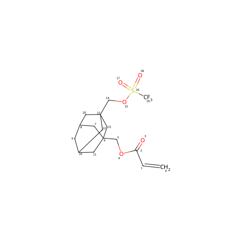 C=CC(=O)OCC12CC3CC(C1)CC(COS(=O)(=O)C(F)(F)F)(C3)C2